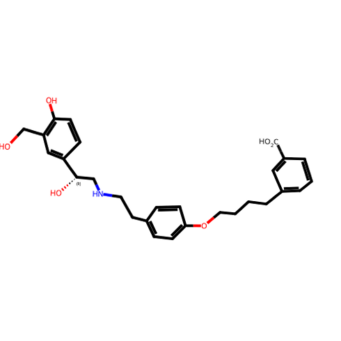 O=C(O)c1cccc(CCCCOc2ccc(CCNC[C@H](O)c3ccc(O)c(CO)c3)cc2)c1